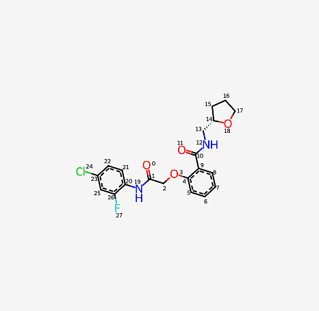 O=C(COc1ccccc1C(=O)NC[C@@H]1CCCO1)Nc1ccc(Cl)cc1F